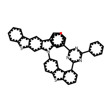 c1ccc(-c2nc(-c3ccccc3)nc(-c3cccc4sc5ccc(-n6c7ccccc7c7cc8c(cc76)sc6ccccc68)cc5c34)n2)cc1